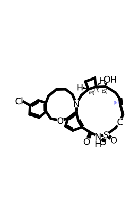 O=C1NS(=O)(=O)CCC/C=C/C[C@H](O)[C@@H]2CC[C@H]2CN2CCCCc3cc(Cl)ccc3COc3ccc1cc32